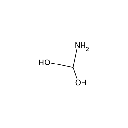 NC(O)O